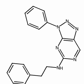 c1ccc(CCNc2ncc3nnn(-c4ccccc4)c3n2)cc1